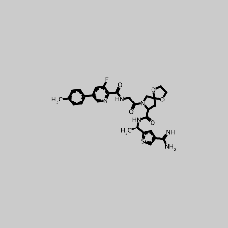 Cc1ccc(-c2cnc(C(=O)NCC(=O)N3CC4(CC3C(=O)N[C@H](C)c3cc(C(=N)N)cs3)OCCO4)c(F)c2)cc1